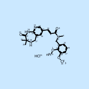 CCCOc1c(CN(C)C(=O)C=Cc2cnc3c(c2)CNC(C)(C)C(=O)N3)cccc1OC(F)(F)F.Cl